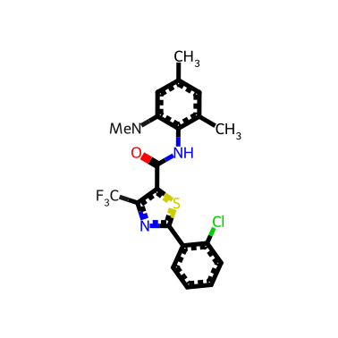 CNc1cc(C)cc(C)c1NC(=O)c1sc(-c2ccccc2Cl)nc1C(F)(F)F